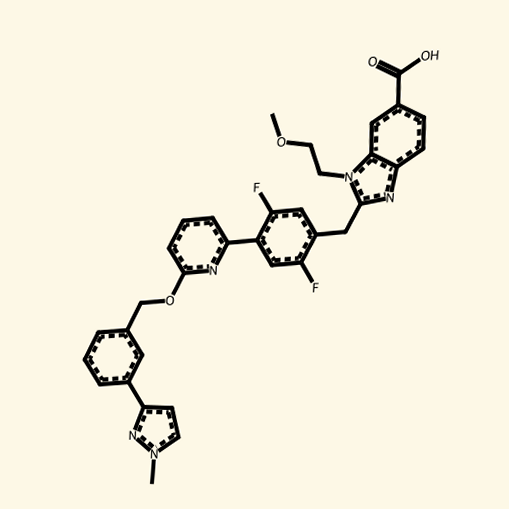 COCCn1c(Cc2cc(F)c(-c3cccc(OCc4cccc(-c5ccn(C)n5)c4)n3)cc2F)nc2ccc(C(=O)O)cc21